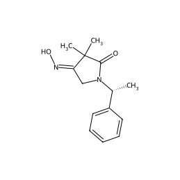 C[C@H](c1ccccc1)N1CC(=NO)C(C)(C)C1=O